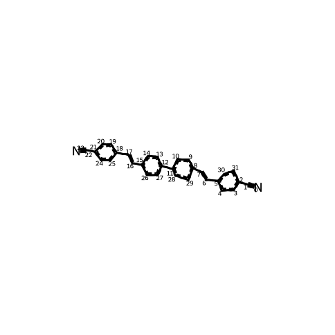 N#Cc1ccc(C=Cc2ccc(-c3ccc(C=Cc4ccc(C#N)cc4)cc3)cc2)cc1